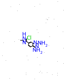 Cc1nc(-c2ccc3c(N)nc(N)nc3c2)c(Cl)[nH]1